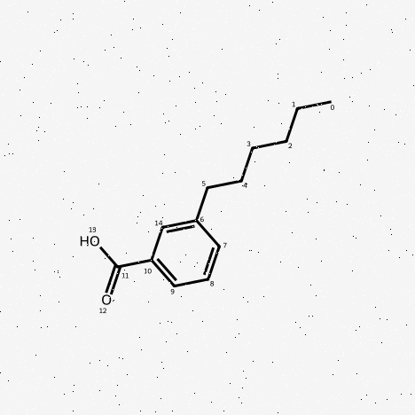 CCCCCCc1cccc(C(=O)O)c1